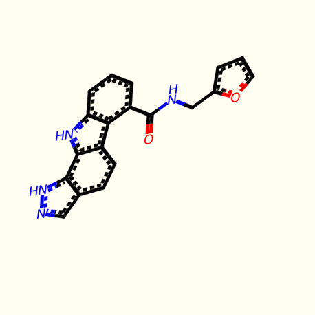 O=C(NCc1ccco1)c1cccc2[nH]c3c(ccc4cn[nH]c43)c12